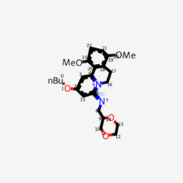 CCCCOc1cc2n(/c(=N/CC3COCCO3)c1)CCc1c(OC)ccc(OC)c1-2